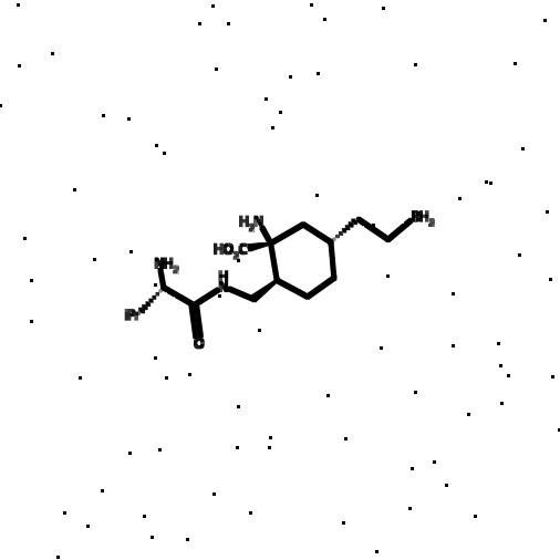 BCC[C@@H]1CC[C@@H](CNC(=O)[C@@H](N)C(C)C)[C@@](N)(C(=O)O)C1